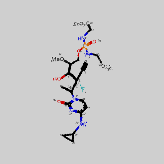 C#C[C@](F)(C(O)C(COP(=O)(NCC(=O)OCC)NCC(=O)OCC)OC)C(C)n1ccc(NC2CC2)nc1=O